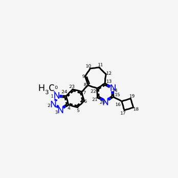 Cn1nnc2ccc(C3=CCCCc4nc(C5CCC5)ncc43)cc21